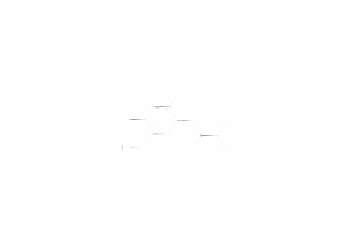 CCC(C(C)=O)C(=O)Oc1cc(OC(C)C)c(Cl)cc1F